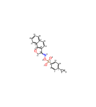 Cc1ccc(S(=O)(=O)O/N=C2\COc3c2ccc2ccccc32)cc1